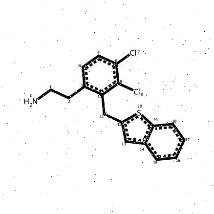 NCCc1ccc(Cl)c(Cl)c1Cc1cc2ccccc2s1